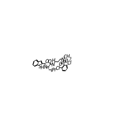 CC(C)C[C@H](NC(=O)c1cc2ccccc2s1)C(=O)NCCCN(C)S(=O)(=O)c1c(Cl)cccc1Cl